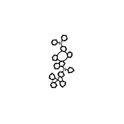 c1ccc(N(c2ccccc2)c2ccc3c(c2)Cc2ccccc2-c2c(cc(N(c4ccccc4)c4ccc5c(c4)-c4ccccc4C5(c4ccccc4)c4ccccc4)c4ccccc24)Cc2ccccc2-3)cc1